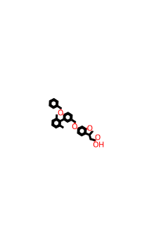 Cc1cccc(C)c1-c1cc(COc2ccc3c(c2)OCC3CC(=O)O)ccc1OCc1ccccc1